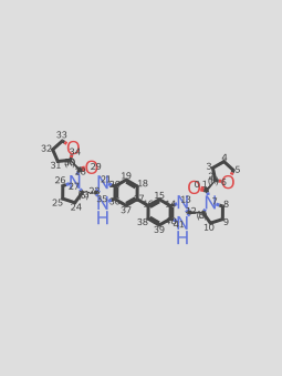 O=C([C@H]1CCCO1)N1CCC[C@H]1c1nc2cc(-c3ccc4nc([C@@H]5CCCN5C(=O)[C@H]5CCCO5)[nH]c4c3)ccc2[nH]1